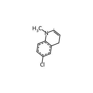 CN1[C]=CCc2cc(Cl)ccc21